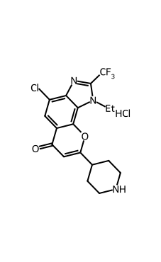 CCn1c(C(F)(F)F)nc2c(Cl)cc3c(=O)cc(C4CCNCC4)oc3c21.Cl